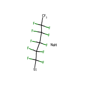 [CH2]CC(F)(F)C(F)(F)C(F)(F)C(F)(F)C(F)(F)C(F)(F)F.[NaH]